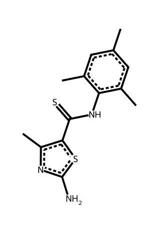 Cc1cc(C)c(NC(=S)c2sc(N)nc2C)c(C)c1